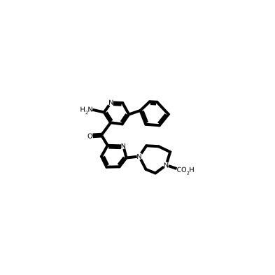 Nc1ncc(-c2ccccc2)cc1C(=O)c1cccc(N2CCCN(C(=O)O)CC2)n1